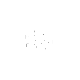 FC1(F)[CH]C(F)(Cl)C1(F)F